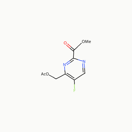 COC(=O)c1ncc(F)c(COC(C)=O)n1